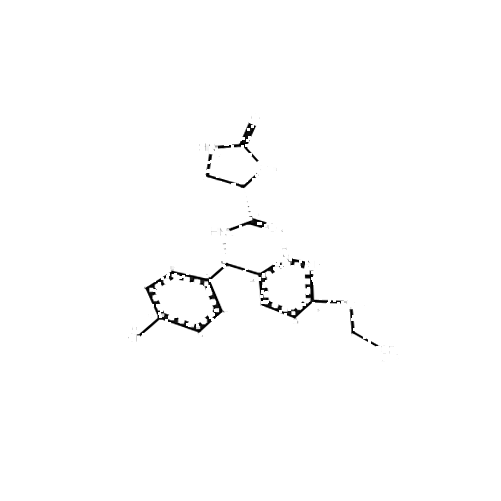 O=C1NC[C@@H](C(=O)N[C@@H](c2ccc(Cl)cc2)c2ccc(OCC(F)(F)F)nn2)O1